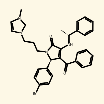 C[C@@H](NC1=C(C(=O)c2ccccc2)[C@@H](c2ccc(Br)cc2)N(CCCN2C=CN(C)C2)C1=O)c1ccccc1